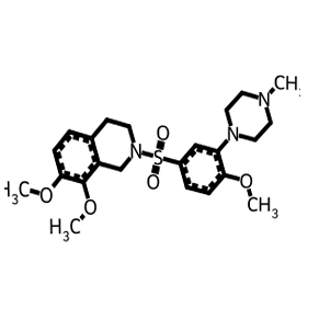 COc1ccc(S(=O)(=O)N2CCc3ccc(OC)c(OC)c3C2)cc1N1CCN(C)CC1